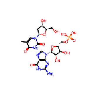 Cc1cn([C@H]2C[C@H](O)[C@@H](CO)O2)c(=O)[nH]c1=O.Nc1nc2c(ncn2[C@@H]2O[C@H](COP(=O)(O)O)[C@@H](O)[C@H]2O)c(=O)[nH]1